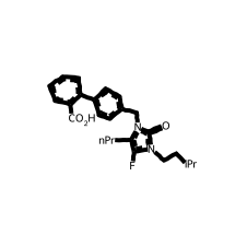 CCCc1c(F)n(CCC(C)C)c(=O)n1Cc1ccc(-c2ccccc2C(=O)O)cc1